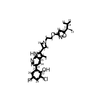 Cc1c(C2CN(CCOc3cc([C@H](C)C(C)C)on3)C2)[nH]c2nnc(-c3cc(F)cc(Cl)c3O)cc12